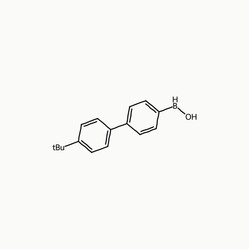 CC(C)(C)c1ccc(-c2ccc(BO)cc2)cc1